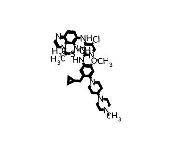 COc1cc(N2CCC(N3CCN(C)CC3)CC2)c(CC2CC2)cc1Nc1ncc(Cl)c(Nc2ccc3nccnc3c2N(C)SC(C)C)n1